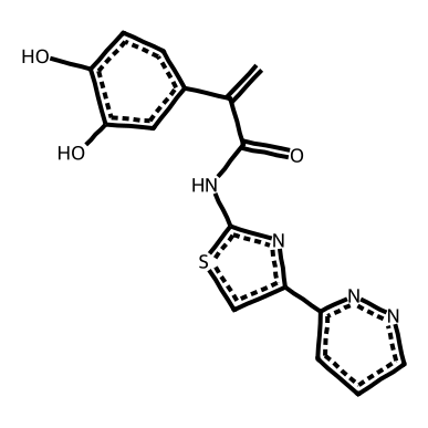 C=C(C(=O)Nc1nc(-c2cccnn2)cs1)c1ccc(O)c(O)c1